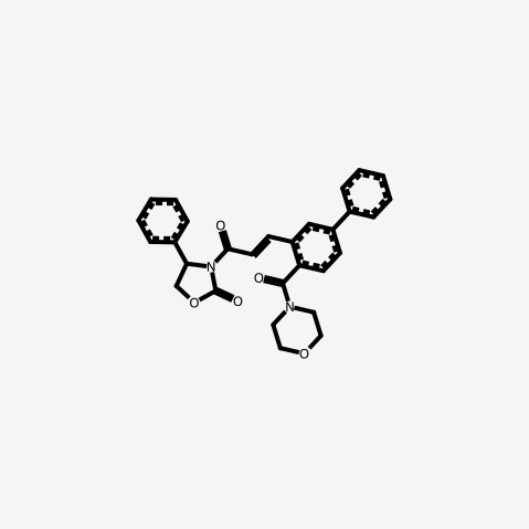 O=C(c1ccc(-c2ccccc2)cc1/C=C/C(=O)N1C(=O)OCC1c1ccccc1)N1CCOCC1